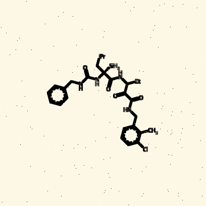 CCC(NC(=O)[C@@]([SiH3])(CC(C)C)NC(=O)NCc1ccccc1)C(=O)C(=O)NCc1cccc(Cl)c1C